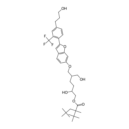 CC(C)(C)CC(C)(C(=O)OCC(O)CCC(CO)COc1ccc2cc(-c3ccc(CCCO)cc3C(F)(F)F)oc2c1)C(C)(C)C